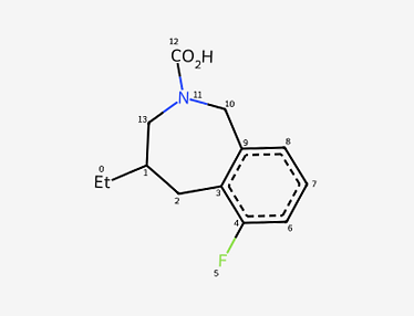 CCC1Cc2c(F)cccc2CN(C(=O)O)C1